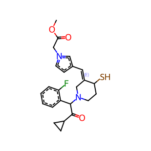 COC(=O)Cn1ccc(/C=C2\CN(C(C(=O)C3CC3)c3ccccc3F)CCC2S)c1